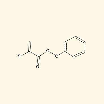 C=C(C(=O)OOc1ccccc1)C(C)C